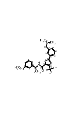 COc1cccc(C(C)NC(=O)c2sc(-c3cccc(CN(C)C)c3)nc2C(F)(F)F)c1